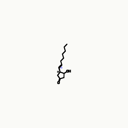 CCCCCC/C=C/[C@@H]1CC(=O)CC1O